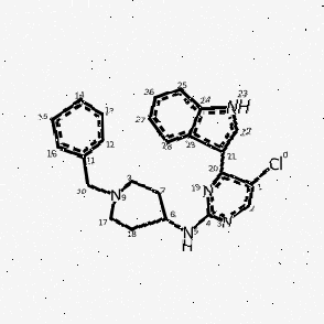 Clc1cnc(NC2CCN(Cc3c[c]ccc3)CC2)nc1-c1c[nH]c2ccccc12